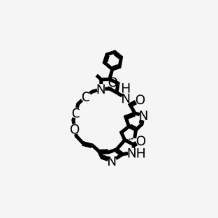 CC1C(c2ccccc2)CC2NC(=O)c3cc4c(cn3)C[C@]3(C4)C(=O)Nc4ncc(cc43)/C=C/COCCCCCN1C2=O